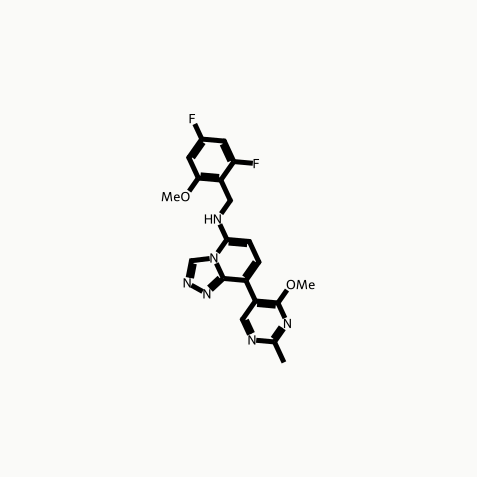 COc1cc(F)cc(F)c1CNc1ccc(-c2cnc(C)nc2OC)c2nncn12